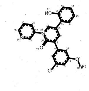 CCCOc1cc(Cl)cc(-c2cc(-c3ccccc3C#N)cn(-c3cccnc3)c2=O)c1